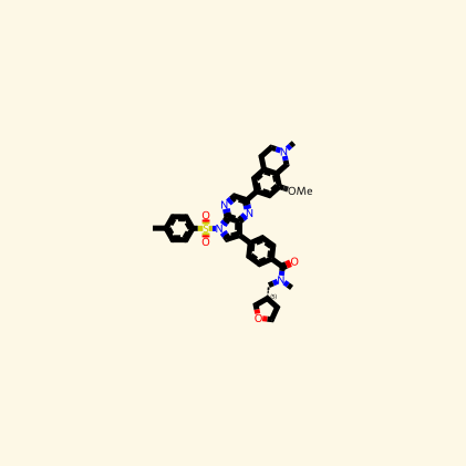 COc1cc(-c2cnc3c(n2)c(-c2ccc(C(=O)N(C)C[C@@H]4CCOC4)cc2)cn3S(=O)(=O)c2ccc(C)cc2)cc2c1CN(C)CC2